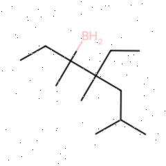 BC(C)(CC)C(C)(CC)CC(C)C